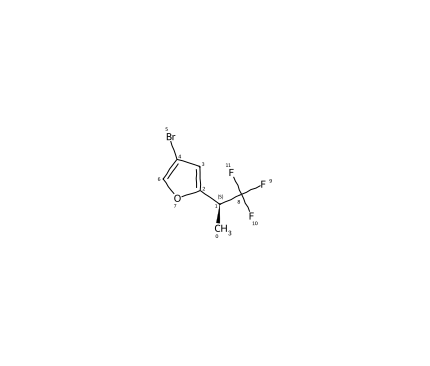 C[C@@H](c1cc(Br)co1)C(F)(F)F